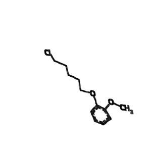 COc1ccccc1OCCCCCCl